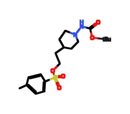 Cc1ccc(S(=O)(=O)OCCC2CCN(NC(=O)OC(C)(C)C)CC2)cc1